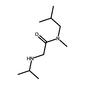 CC(C)CN(C)C(=O)CNC(C)C